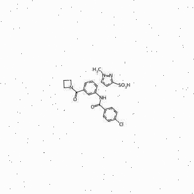 Cn1ccc(S(=O)(=O)O)n1.O=C(Nc1cccc(C(=O)N2CCC2)c1)c1ccc(Cl)cc1